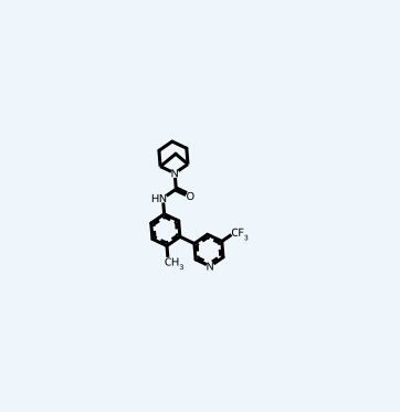 Cc1ccc(NC(=O)N2C3CCCC2C3)cc1-c1cncc(C(F)(F)F)c1